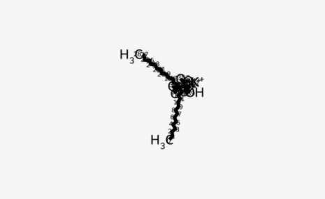 CCCCCCCCCCCCCCC(CCCCCCCCCCCCCC)(C(=O)[O-])C(C(=O)[O-])S(=O)(=O)O.[K+].[K+]